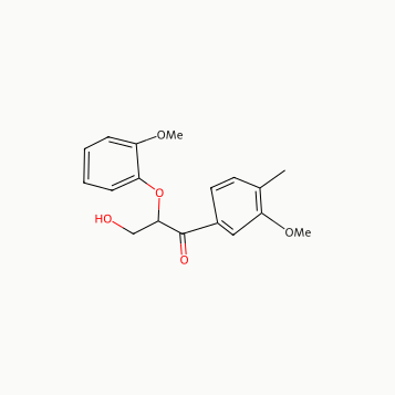 COc1cc(C(=O)C(CO)Oc2ccccc2OC)ccc1C